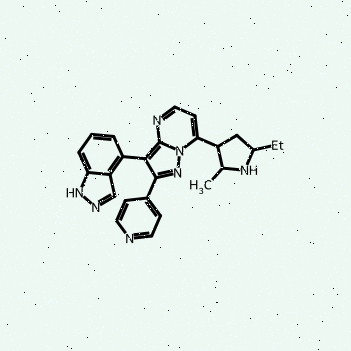 CCC1CC(c2ccnc3c(-c4cccc5[nH]ncc45)c(-c4ccncc4)nn23)C(C)N1